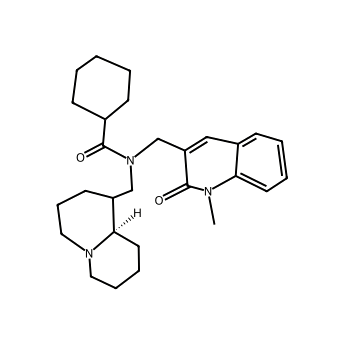 Cn1c(=O)c(CN(CC2CCCN3CCCC[C@H]23)C(=O)C2CCCCC2)cc2ccccc21